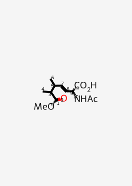 COC(=O)C(C)C(C)/C=C/C(NC(C)=O)C(=O)O